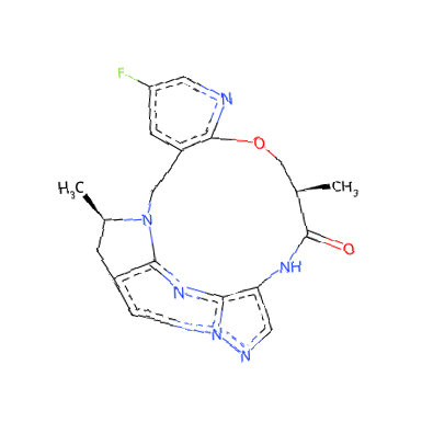 C[C@@H]1COc2ncc(F)cc2CN2c3nc4c(cnn4cc3C[C@H]2C)NC1=O